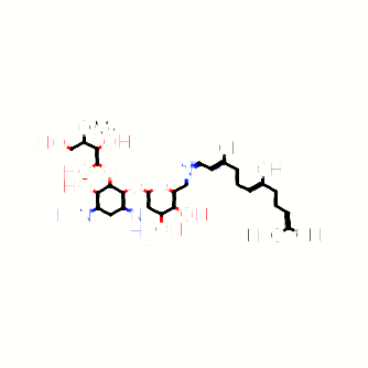 COC(CO)C(O)C(O)OC1C(O)C(N)CC(N)C1OC1CC(O)C(O)C(C/N=C\C=C(/C)CC/C=C(\C)CCC=C(C)C)O1